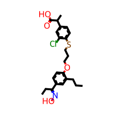 CCCc1cc(C(CC)=NO)ccc1OCCCSc1ccc(C(C)C(=O)O)cc1Cl